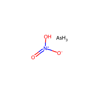 O=[N+]([O-])O.[AsH3]